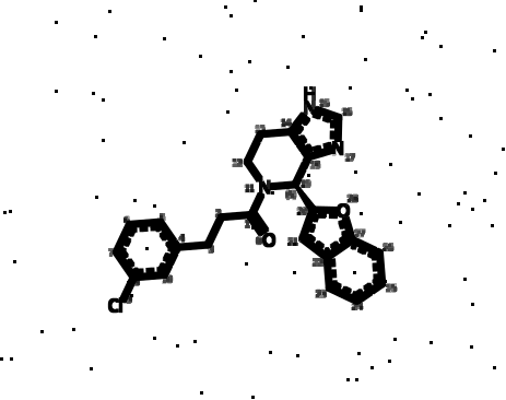 O=C(CCc1cccc(Cl)c1)N1CCc2[nH]cnc2[C@H]1c1cc2ccccc2o1